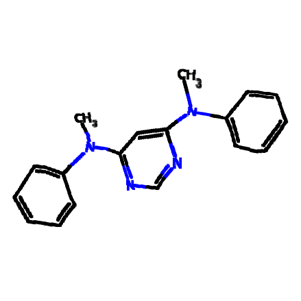 CN(c1ccccc1)c1cc(N(C)c2ccccc2)ncn1